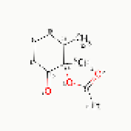 CCC(=O)OC1(C)C(=O)CCCC1C